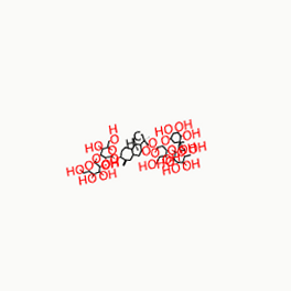 C=C1CC2CCC3[C@](C)(C(=O)OC4OC(CO)C(O)C(OC5OC(CO)C(O)C(O)C5O)C4OC4CC(CO)C(O)C(O)C4O)CCC[C@@]3(C)[C@@H]2CCC1OC1OC(CO)C(O)C(OC2OC(CO)C(O)C(O)C2O)C1O